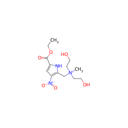 CCOC(=O)c1cc([N+](=O)[O-])c(C[N+](C)(CCO)CCO)[nH]1